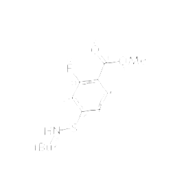 COC(=O)c1ccc(SNC(C)(C)C)cc1F